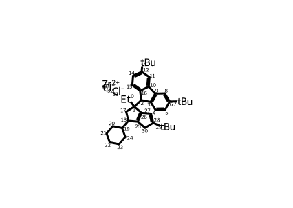 CCC1(C2c3ccc(C(C)(C)C)cc3-c3cc(C(C)(C)C)ccc32)CC(C2CCCCC2)C2=C1C=C(C(C)(C)C)C2.[Cl-].[Cl-].[Zr+2]